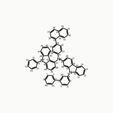 c1ccc(-c2cccc(-n3c4ccccc4c4ccc(N(c5ccc(-c6cccc7ccccc67)cc5)c5cccc6c5c5ccccc5n6-c5ccccc5)cc43)c2)cc1